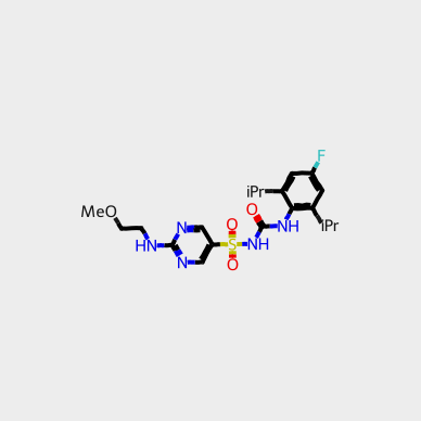 COCCNc1ncc(S(=O)(=O)NC(=O)Nc2c(C(C)C)cc(F)cc2C(C)C)cn1